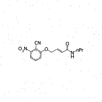 CCCNC(=O)C=CCOc1cccc([N+](=O)[O-])c1C#N